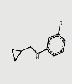 Clc1cccc(NCC2CC2)c1